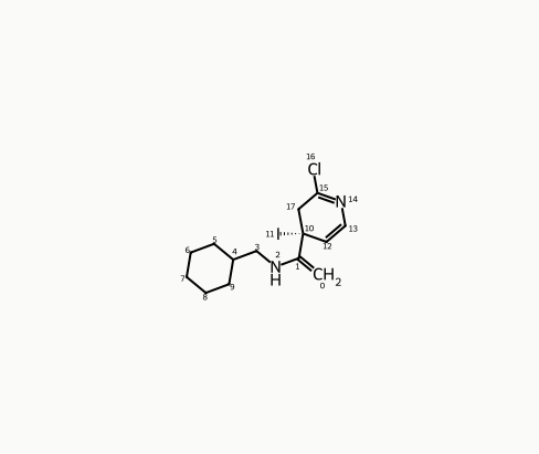 C=C(NCC1CCCCC1)[C@]1(I)C=CN=C(Cl)C1